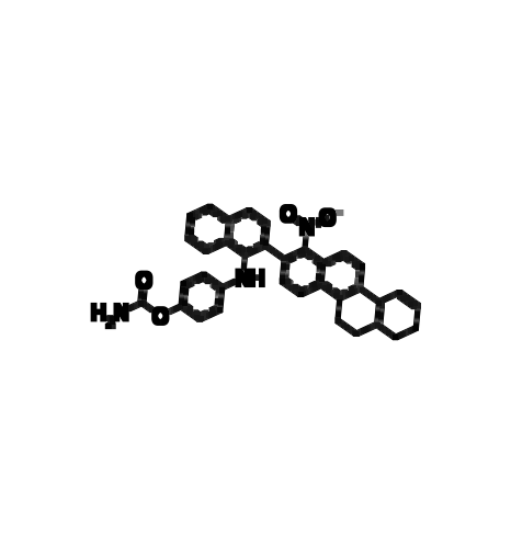 NC(=O)Oc1ccc(Nc2c(-c3ccc4c5c(ccc4c3[N+](=O)[O-])C3=C(CCC=C3)CC5)ccc3ccccc23)cc1